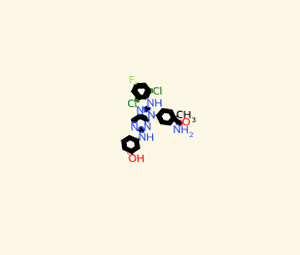 C[C@]1(C(N)=O)CC[C@H](n2c(Nc3c(Cl)cc(F)cc3Cl)nc3cnc(N[C@@H]4CCC[C@@H](O)C4)nc32)CC1